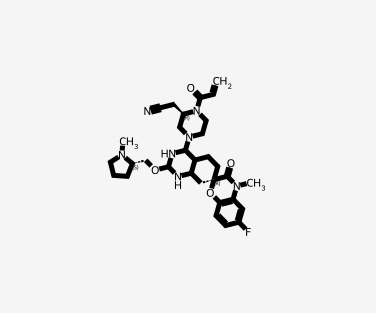 C=CC(=O)N1CCN(C2NC(OC[C@@H]3CCCN3C)NC3C[C@@]4(CCC32)Oc2ccc(F)cc2N(C)C4=O)C[C@H]1CC#N